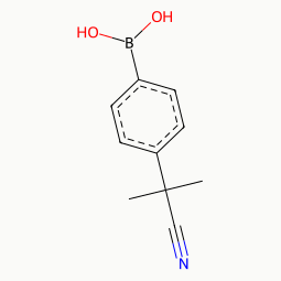 CC(C)(C#N)c1ccc(B(O)O)cc1